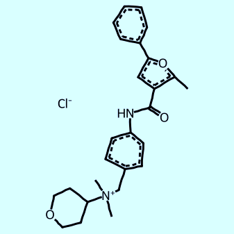 Cc1oc(-c2ccccc2)cc1C(=O)Nc1ccc(C[N+](C)(C)C2CCOCC2)cc1.[Cl-]